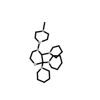 CN1CC[N+](N2CCOC(N3CCCCC3)(N3CCCCC3)C2N2CCCC2)CC1